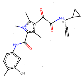 C#C[C@H](NC(=O)C(=O)c1c(C)c(C(=O)Nc2ccc(C)c(C#N)c2)n(C)c1C)C1CC1